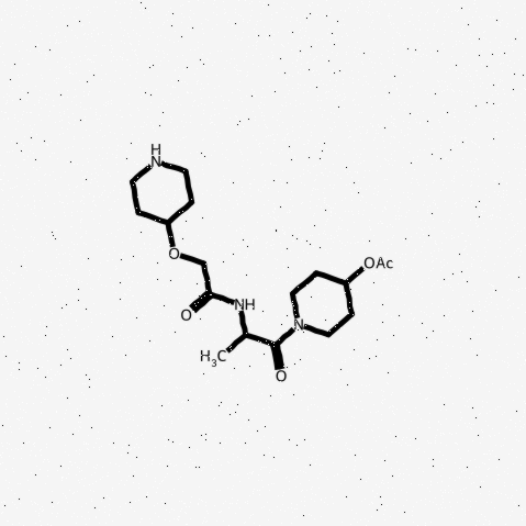 CC(=O)OC1CCN(C(=O)C(C)NC(=O)COC2CCNCC2)CC1